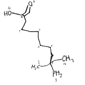 CC(C)(P)CCCCC(=O)O